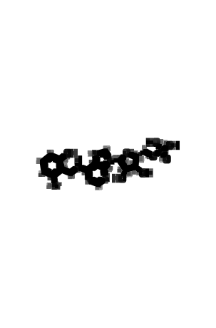 O=P(O)(O)OC[C@H]1O[C@@H](n2cnc3c(NCc4c(O)cccc4Br)ncnc32)[C@H](O)[C@@H]1O